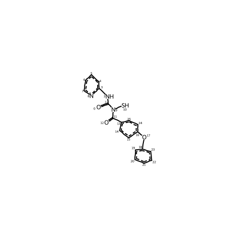 O=C(Nc1ccccn1)N(S)C(=O)c1ccc(Oc2ccccc2)cc1